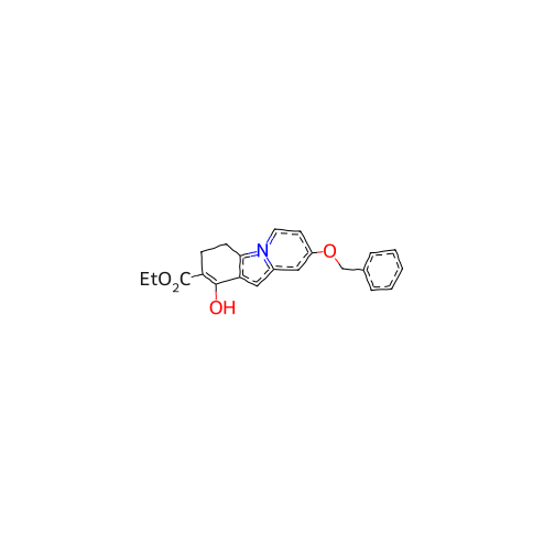 CCOC(=O)C1=C(O)c2cc3cc(OCc4ccccc4)ccn3c2CC1